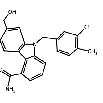 Cc1ccc(Cn2c3cc(CO)c[c]c3c3c(C(N)=O)cccc32)cc1Cl